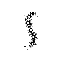 Cc1cc(N)ccc1Oc1ccc(C(C)(C)c2ccc(C(C)(C)c3ccc(Oc4ccc(N)cc4C)c(C)c3C)cc2)c(C)c1C